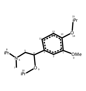 COc1cc(C(CN(C)C(C)C)OC(C)C)ccc1OC(C)C